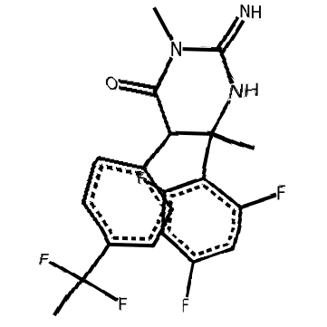 CN1C(=N)NC(C)(c2c(F)cc(F)cc2F)C(c2ccc(C(C)(F)F)cc2)C1=O